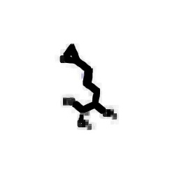 CC(C/C=C/C1CO1)[C@H](C)O